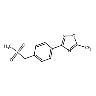 CS(=O)(=O)Cc1ccc(-c2noc(C(F)(F)F)n2)cc1